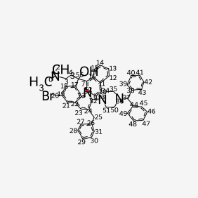 CN(C)CCC(O)(c1cccc2ccccc12)c1cc(Br)cc2cc(Cc3ccccc3)c(N3CCN(C(c4ccccc4)c4ccccc4)CC3)nc12